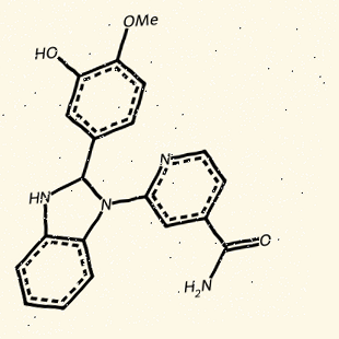 COc1ccc(C2Nc3ccccc3N2c2cc(C(N)=O)ccn2)cc1O